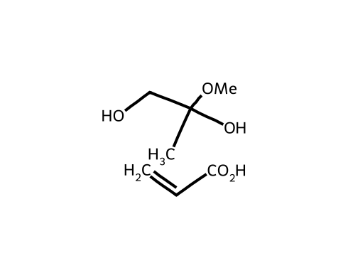 C=CC(=O)O.COC(C)(O)CO